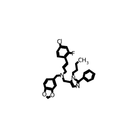 CCCCn1c(CN(CC=Cc2ccc(Cl)cc2F)Cc2ccc3c(c2)OCO3)cnc1-c1ccccc1